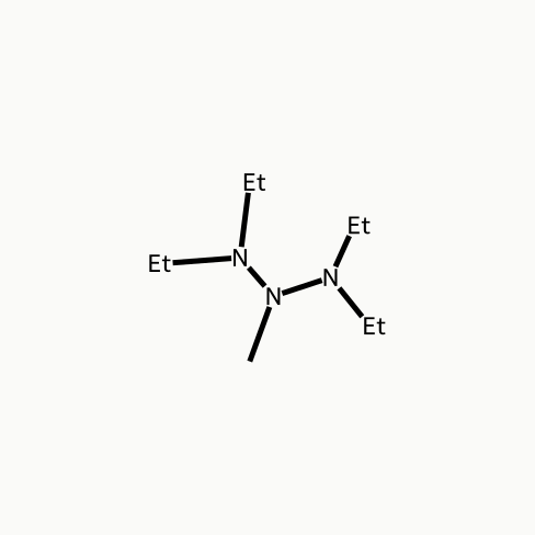 CCN(CC)N(C)N(CC)CC